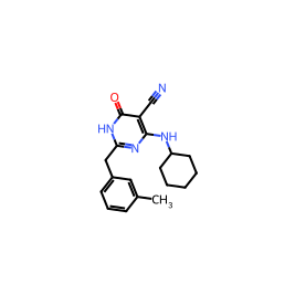 Cc1cccc(Cc2nc(NC3CCCCC3)c(C#N)c(=O)[nH]2)c1